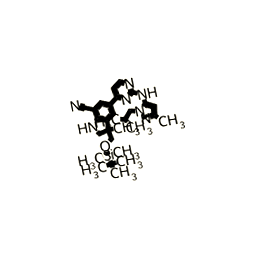 Cc1cc(Nc2nccc(-c3cc(C#N)c4c(c3)C(C)(CO[Si](C)(C)C(C)(C)C)CN4)n2)n(CC(C)C)n1